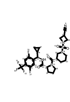 N#CC1CN(S(=O)(=O)N2CCC[C@H](C(=O)N3CCC[C@@H]3C(=O)N[C@@H](c3cc(F)c(C(F)(F)F)cc3F)C3CC3)C2)C1